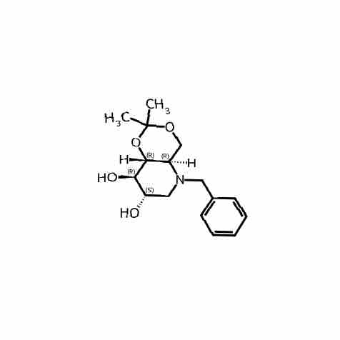 CC1(C)OC[C@@H]2[C@@H](O1)[C@H](O)[C@@H](O)CN2Cc1ccccc1